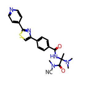 CN(C#N)C(=O)C(C)(NC(=O)c1ccc(-c2csc(-c3ccncc3)n2)cc1)N(C)C